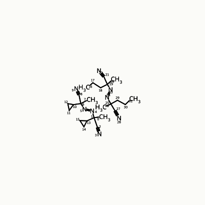 CC(C#N)(/N=N/C(C)(C#N)C1CC1)C1CC1.CCCC(C)(C#N)/N=N/C(C)(C#N)CCC